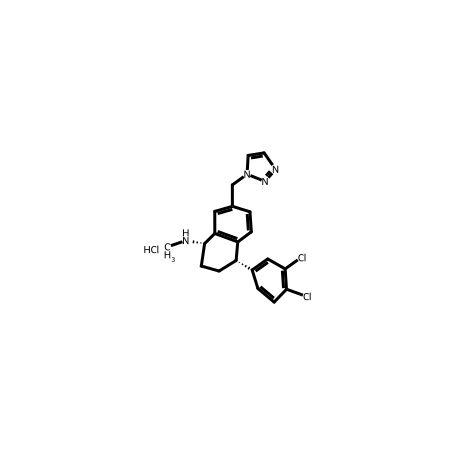 CN[C@H]1CC[C@@H](c2ccc(Cl)c(Cl)c2)c2ccc(Cn3ccnn3)cc21.Cl